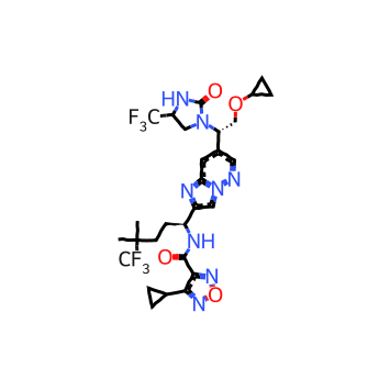 CC(C)(CC[C@H](NC(=O)c1nonc1C1CC1)c1cn2ncc([C@@H](COC3CC3)N3CC(C(F)(F)F)NC3=O)cc2n1)C(F)(F)F